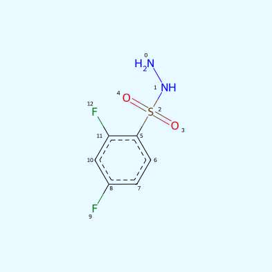 NNS(=O)(=O)c1ccc(F)cc1F